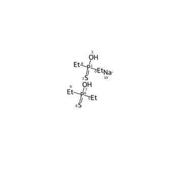 CCP(O)(=S)CC.CCP(O)(=S)CC.[Na]